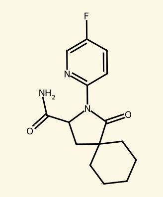 NC(=O)C1CC2(C[CH]CCC2)C(=O)N1c1ccc(F)cn1